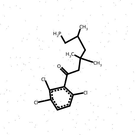 CC(CP)CC(C)(C)CC(=O)c1c(Cl)ccc(Cl)c1Cl